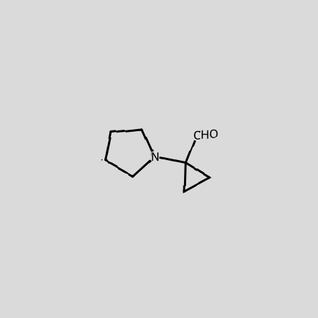 O=CC1(N2C[CH]CC2)CC1